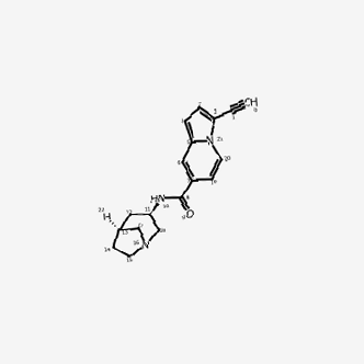 C#Cc1ccc2cc(C(=O)N[C@@H]3C[C@@H]4CCN(C4)C3)ccn12